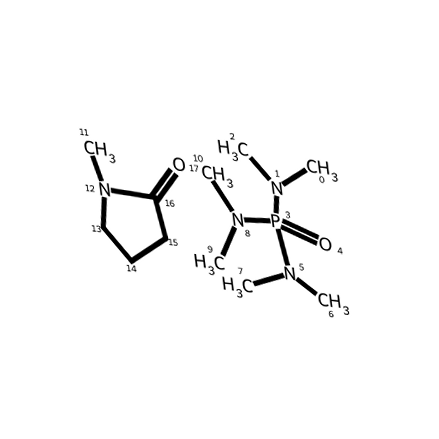 CN(C)P(=O)(N(C)C)N(C)C.CN1CCCC1=O